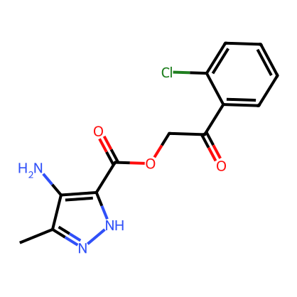 Cc1n[nH]c(C(=O)OCC(=O)c2ccccc2Cl)c1N